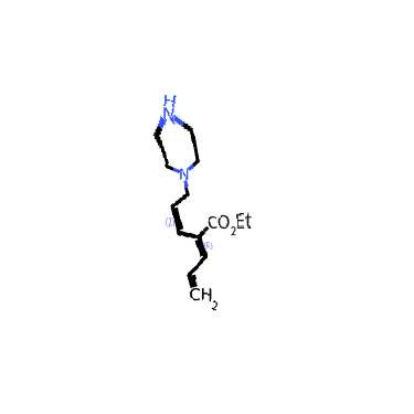 C=C/C=C(\C=C/CN1CCNCC1)C(=O)OCC